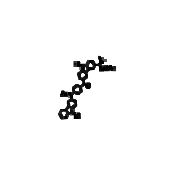 CCn1c2ccc(C(=O)c3ccc(N(C(C)=O)c4ccc5c(c4)c4ccccc4n5CC)cc3)cc2c2cc(C(=NOC(C)=O)N(C)C)ccc21